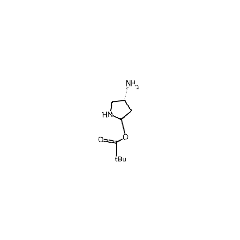 CC(C)(C)C(=O)OC1C[C@@H](N)CN1